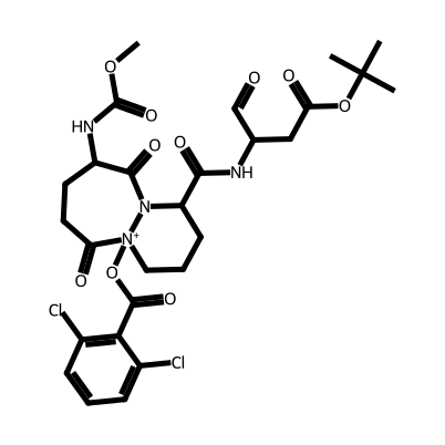 COC(=O)NC1CCC(=O)[N+]2(OC(=O)c3c(Cl)cccc3Cl)CCCC(C(=O)NC(C=O)CC(=O)OC(C)(C)C)N2C1=O